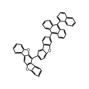 c1ccc2c(-c3c4ccccc4c(-c4ccc5c(c4)oc4ccc(-c6c7oc8ccccc8c7cc7oc8ccccc8c67)cc45)c4ccccc34)cccc2c1